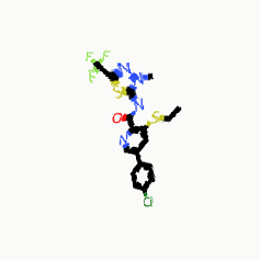 CCSc1cc(-c2ccc(Cl)cc2)cnc1C(=O)/N=c1\sc(C(F)(F)F)nn1C